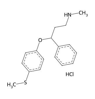 CNCCC(Oc1ccc(SC)cc1)c1ccccc1.Cl